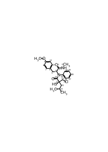 CNC(=O)[C@H](Cc1ccc(OC)cc1)N(C(=O)C(S)(CCl)CC(C)C)c1ccccc1